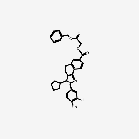 N#Cc1ccc(N2N=C3c4ccc(C(=O)OCC(=O)OCc5ccccc5)cc4CCC3C2C2CCCC2)cc1Cl